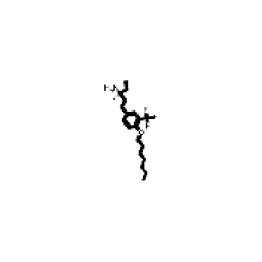 CCCCCCCOc1ccc(CC[C@@](C)(N)CC)cc1C(F)(F)F